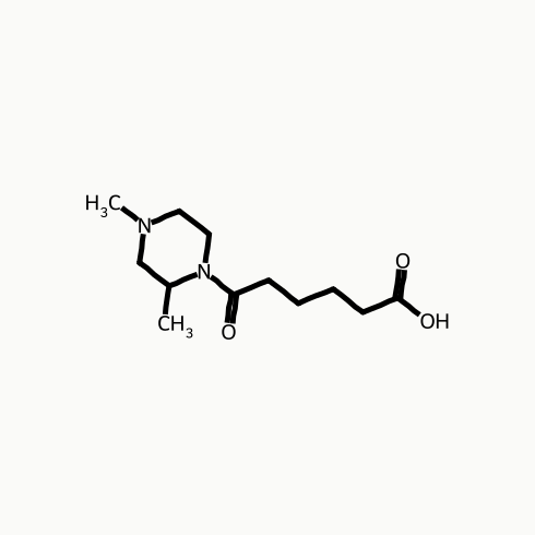 CC1CN(C)CCN1C(=O)CCCCC(=O)O